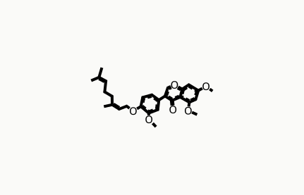 COc1cc(OC)c2c(=O)c(-c3ccc(OCC=C(C)CCC=C(C)C)c(OC)c3)coc2c1